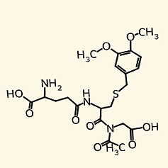 COc1ccc(CSCC(NC(=O)CCC(N)C(=O)O)C(=O)N(CC(=O)O)C(C)=O)cc1OC